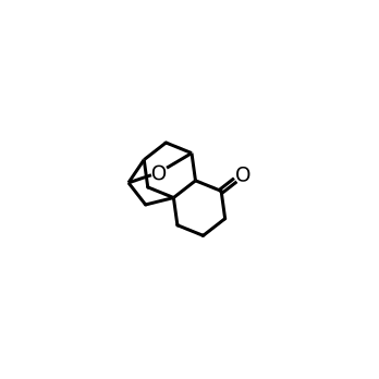 O=C1CCCC23CC4CC(OC4C2)C13